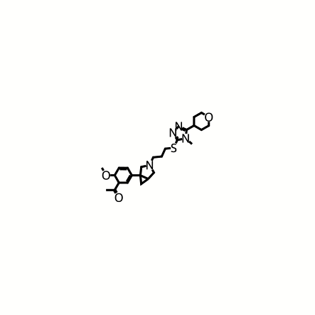 COC1C=CC(C23CC2CN(CCCSc2nnc(C4CCOCC4)n2C)C3)=CC1C(C)=O